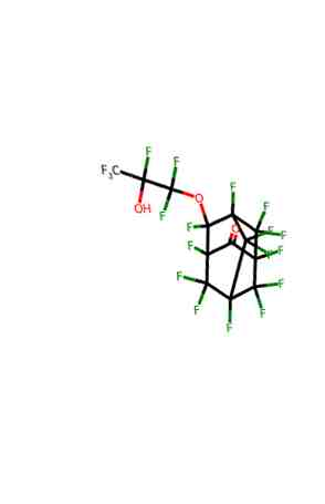 O=C1C2(F)C(F)(F)C3(F)C(F)(F)C1(F)C(F)(OC(F)(F)C(O)(F)C(F)(F)F)C(F)(C2(F)F)C3(F)F